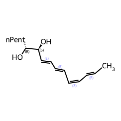 C/C=C/C=C\C=C\C=C\[C@H](O)[C@H](O)CCCCC